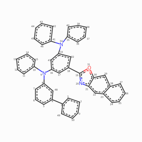 c1ccc(-c2cccc(N(c3ccccc3)c3cc(-c4nc5cc6ccccc6cc5o4)cc(N(c4ccccc4)c4ccccc4)c3)c2)cc1